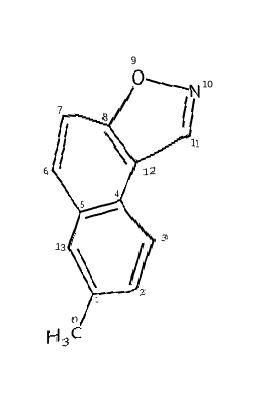 Cc1ccc2c(ccc3oncc32)c1